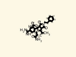 CC(C)C1C2C(=O)N(CCc3ccccc3)C(=O)C2C(OC(=O)O)(c2ccc(C(=N)N)cc2)N1CCC(N)=O